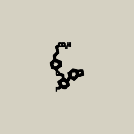 O=C(O)CCCc1ccc(OCc2cc(F)ccc2-c2ccc3c(c2)CC3)cc1